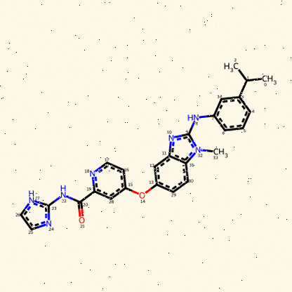 CC(C)c1cccc(Nc2nc3cc(Oc4ccnc(C(=O)Nc5ncc[nH]5)c4)ccc3n2C)c1